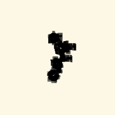 O=C(Nc1cccnc1)c1n[nH]cc1C(=O)C1N[C@H]1c1cncc(CN2CCCCC2)c1